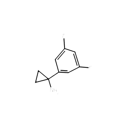 NC1(c2cc(F)cc(F)c2)CC1